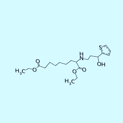 CCOC(=O)CCCCCCC(NCCC(O)c1cccs1)C(=O)OCC